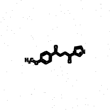 COc1ccc(C(=O)CCC(=O)n2ccnc2)cc1